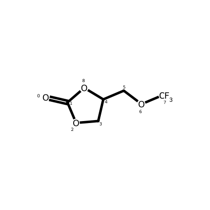 O=C1OCC(COC(F)(F)F)O1